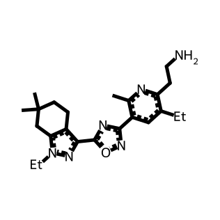 CCc1cc(-c2noc(-c3nn(CC)c4c3CCC(C)(C)C4)n2)c(C)nc1CCN